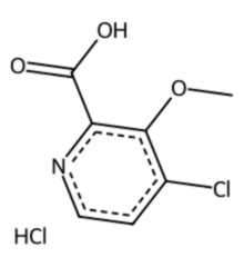 COc1c(Cl)ccnc1C(=O)O.Cl